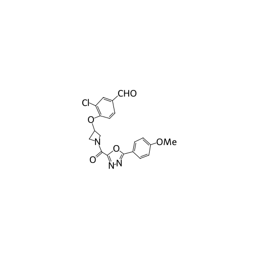 COc1ccc(-c2nnc(C(=O)N3CC(Oc4ccc(C=O)cc4Cl)C3)o2)cc1